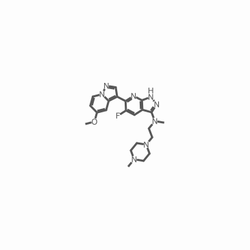 COc1ccn2ncc(-c3nc4[nH]nc(N(C)CCN5CCN(C)CC5)c4cc3F)c2c1